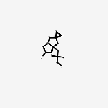 CCC(C)(C)CC12CC(F)CN1CC1(CC1)C2